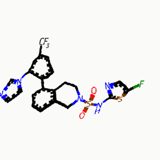 O=S(=O)(Nc1ncc(F)s1)N1CCc2c(cccc2-c2ccc(C(F)(F)F)cc2-n2ccnc2)C1